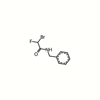 O=C(NCc1ccccc1)C(F)Br